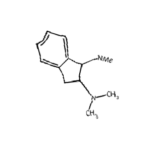 CNC1c2ccccc2CC1N(C)C